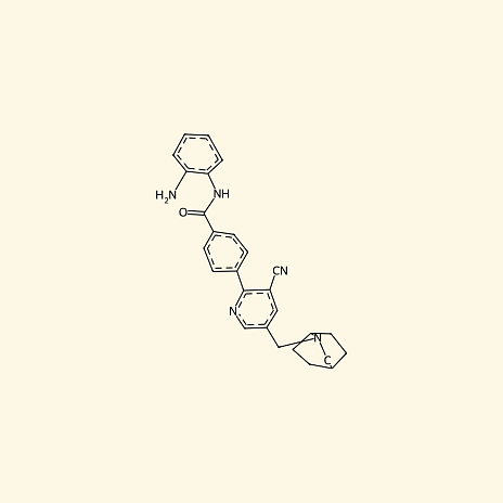 N#Cc1cc(CN2CC3CCC2CC3)cnc1-c1ccc(C(=O)Nc2ccccc2N)cc1